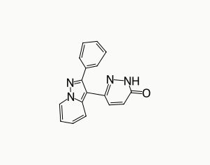 O=c1ccc(-c2c(-c3ccccc3)nn3ccccc23)n[nH]1